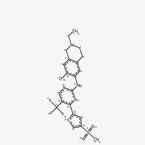 CCN1CCc2cc(Nc3ncc(C(F)(F)F)c(-c4cc(S(C)(=O)=O)cs4)n3)c(Cl)cc2C1